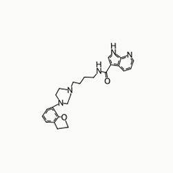 O=C(NCCCCN1CCN(c2cccc3c2OCC3)CC1)c1c[nH]c2ncccc12